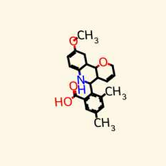 COC1=CC=C2NC(c3c(C)cc(C)cc3C(=O)O)C3C=CCOC3C2C1